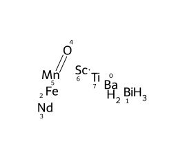 [BaH2].[BiH3].[Fe].[Nd].[O]=[Mn].[Sc].[Ti]